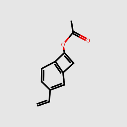 C=Cc1ccc2c(c1)C=C2OC(C)=O